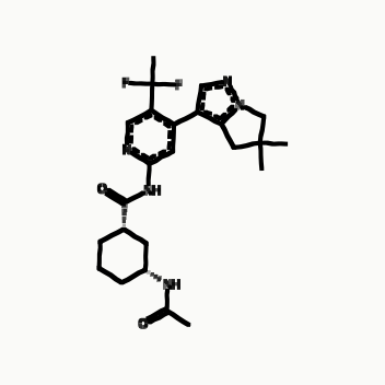 CC(=O)N[C@@H]1CCC[C@H](C(=O)Nc2cc(-c3cnn4c3CC(C)(C)C4)c(C(C)(F)F)cn2)C1